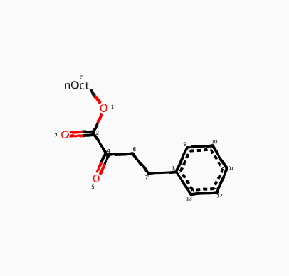 CCCCCCCCOC(=O)C(=O)CCc1ccccc1